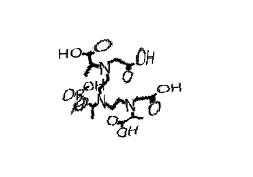 CC(O[PH](=O)O)N(CCN(CC(=O)O)C(C)C(=O)O)CCN(CC(=O)O)C(C)C(=O)O